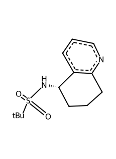 CC(C)(C)S(=O)(=O)N[C@H]1CCCc2ncccc21